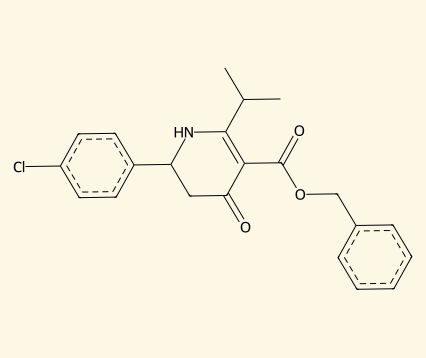 CC(C)C1=C(C(=O)OCc2ccccc2)C(=O)CC(c2ccc(Cl)cc2)N1